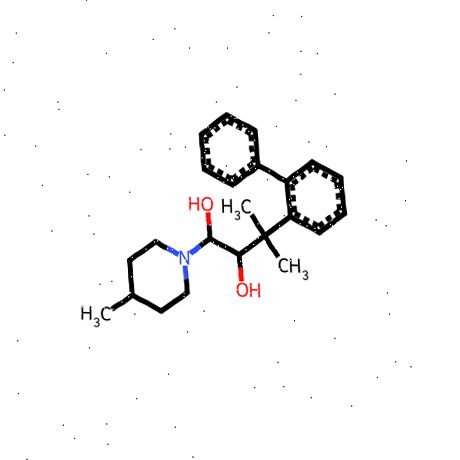 CC1CCN(C(O)C(O)C(C)(C)c2ccccc2-c2ccccc2)CC1